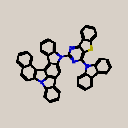 c1ccc2c(c1)ccc1c2c2c3c4ccccc4n(-c4nc(-n5c6ccccc6c6ccccc65)c5sc6ccccc6c5n4)c3cc3c4ccccc4n1c32